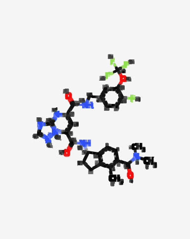 Cc1c(C(=O)N(C)C)ccc2c1CC[C@@H]2NC(=O)c1cc(C(=O)NCc2ccc(F)c(OC(F)(F)F)c2)nc2ncnn12